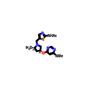 CNc1cc(O[C@@H]2C[C@H](C)N(Cc3cnc(NC(C)=O)s3)C2)ncn1